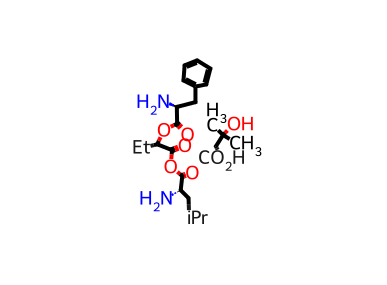 CC(C)(O)CC(=O)O.CCC(OC(=O)[C@@H](N)Cc1ccccc1)C(=O)OC(=O)[C@@H](N)CC(C)C